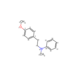 COc1ccc(CCN(C)c2ccccc2)cc1